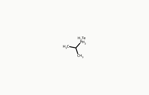 CC(C)P.[TeH2]